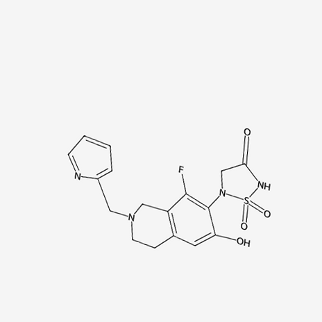 O=C1CN(c2c(O)cc3c(c2F)CN(Cc2ccccn2)CC3)S(=O)(=O)N1